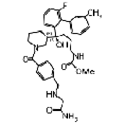 COC(=O)NCCC[C@@](O)(c1cccc(F)c1-c1cccc(C)c1)[C@@H]1CCCN(C(=O)c2ccc(CNCC(N)=O)cc2)C1